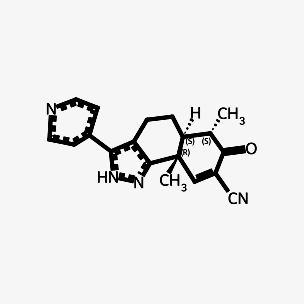 C[C@@H]1C(=O)C(C#N)=C[C@]2(C)c3n[nH]c(-c4ccncc4)c3CC[C@@H]12